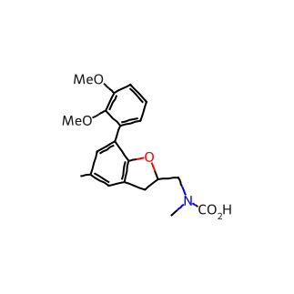 COc1cccc(-c2cc(C)cc3c2OC(CN(C)C(=O)O)C3)c1OC